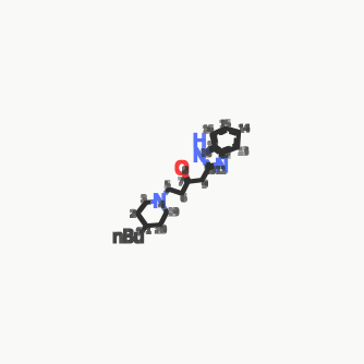 CCCCC1CCN(CCC(=O)Cc2nc3ccccc3[nH]2)CC1